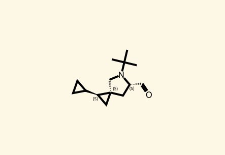 CC(C)(C)N1C[C@]2(C[C@H]1C=O)C[C@H]2C1CC1